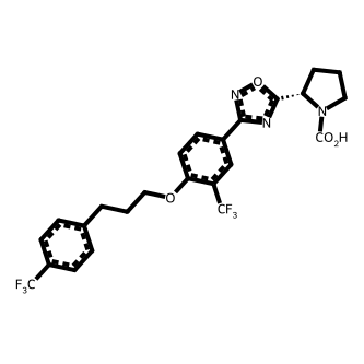 O=C(O)N1CCC[C@H]1c1nc(-c2ccc(OCCCc3ccc(C(F)(F)F)cc3)c(C(F)(F)F)c2)no1